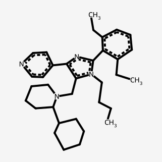 CCCCn1c(-c2c(CC)cccc2CC)nc(-c2ccncc2)c1CN1CCCCC1C1CCCCC1